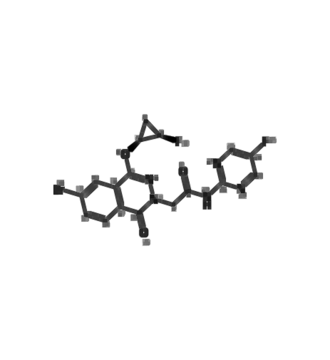 O=C(Cn1nc(O[C@H]2C[C@H]2F)c2cc(Br)ccc2c1=O)Nc1ncc(F)cn1